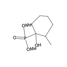 COP(=O)(OC)C1(O)CCCCC1C